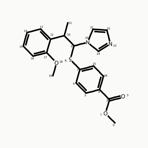 COC(=O)c1ccc(SC(C(C)c2ccccc2OC)n2ccnc2)cc1